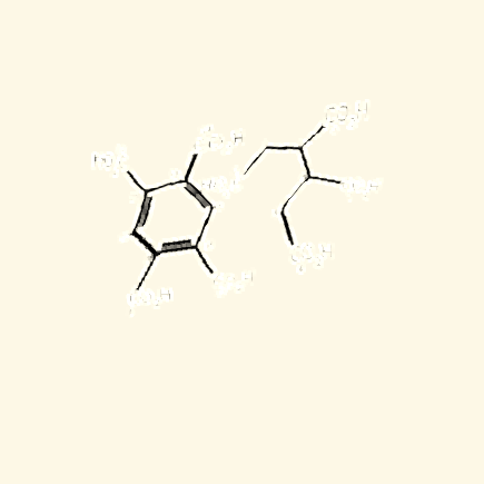 O=C(O)CC(C(=O)O)C(CC(=O)O)C(=O)O.O=C(O)c1cc(C(=O)O)c(C(=O)O)cc1C(=O)O